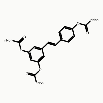 CCCCCCCCCC(=O)Oc1ccc(C=Cc2cc(OC(=O)CCCCCCCCC)cc(OC(=O)CCCCCCCCC)c2)cc1